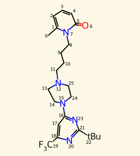 Cc1cccc(=O)n1CCCCN1CCN(c2cc(C(F)(F)F)nc(C(C)(C)C)n2)CC1